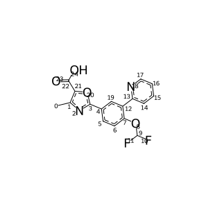 Cc1nc(-c2ccc(OC(F)F)c(-c3ccccn3)c2)oc1C(=O)O